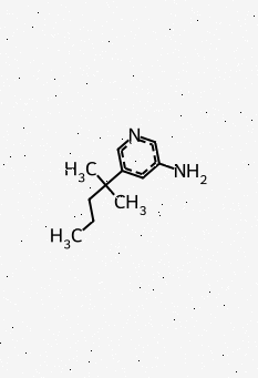 CCCC(C)(C)c1cncc(N)c1